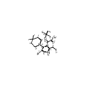 CC1(C)CCN(c2c(Br)cnc(CF)c2C(OC(C)(C)C)C(=O)O)CC1